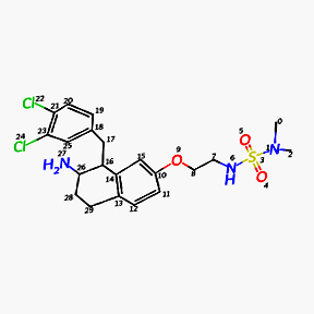 CN(C)S(=O)(=O)NCCOc1ccc2c(c1)C(Cc1ccc(Cl)c(Cl)c1)C(N)CC2